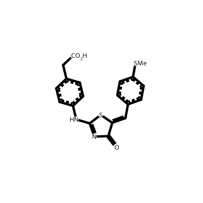 CSc1ccc(/C=C2\SC(Nc3ccc(CC(=O)O)cc3)=NC2=O)cc1